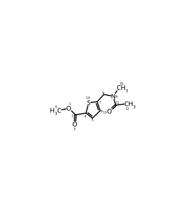 COC(=O)c1ccc(CN(C)C(C)=O)s1